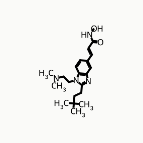 CN(C)CCn1c(CCC(C)(C)C)nc2cc(/C=C/C(=O)NO)ccc21